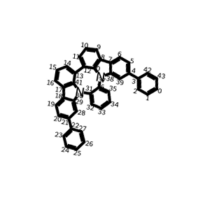 c1ccc(-c2ccc3c4cccc5c6cccc7c8ccc(-c9ccccc9)cc8n(c8ccccc8n(c3c2)c45)c76)cc1